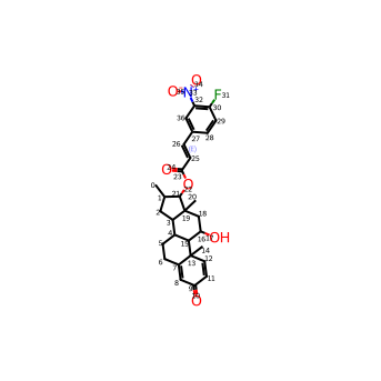 CC1CC2C3CCC4=CC(=O)C=CC4(C)C3C(O)CC2(C)C1OC(=O)/C=C/c1ccc(F)c([N+](=O)[O-])c1